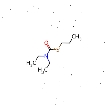 CCCSC(=O)N(CC)CC